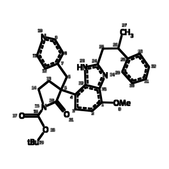 COc1ccc(C2(Cc3ccncc3)CCN(C(=O)OC(C)(C)C)C2=O)c2[nH]c(CC(C)c3ccccc3)nc12